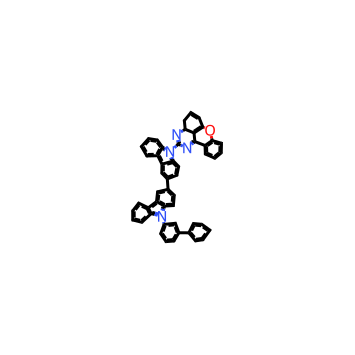 C1=CC2=C3C(=NC(n4c5ccccc5c5cc(-c6ccc7c(c6)c6ccccc6n7-c6cccc(-c7ccccc7)c6)ccc54)=NC3C1)c1ccccc1O2